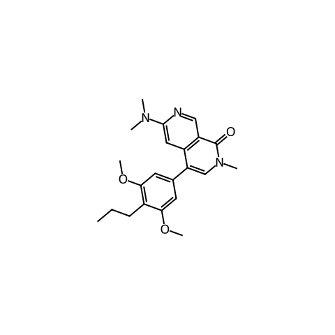 CCCc1c(OC)cc(-c2cn(C)c(=O)c3cnc(N(C)C)cc23)cc1OC